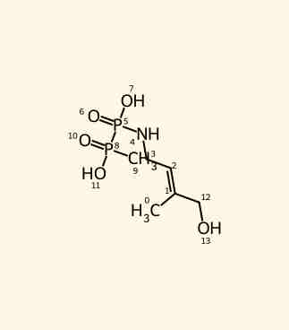 C/C(=C\CNP(=O)(O)P(C)(=O)O)CO